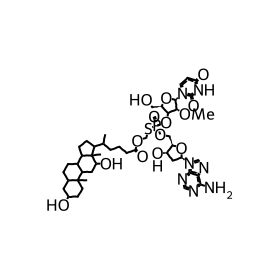 CO[C@H]1C(OP(=O)(OC[C@H]2O[C@@H](n3cnc4c(N)ncnc43)C[C@H]2O)SCOC(=O)CCCC(C)C2CCC3C4CCC5CC(O)CCC5(C)C4CC(O)C23C)[C@@H](CO)O[C@H]1n1ccc(=O)[nH]c1=O